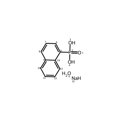 O.O=P(O)(O)c1cccc2ccccc12.[NaH]